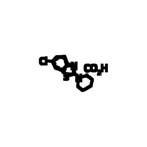 O=C(O)[C@@H]1CCCCN1c1nc2ccc(Cl)cc2s1